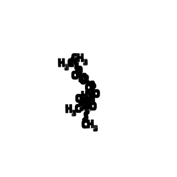 CCCCC[C@@H](C(=O)NCNC(=O)c1ccc(-c2ccc(C(=O)OCCN(C)C)cc2)o1)[C@@H](CC)N(O)C=O